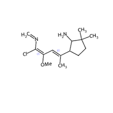 C=N/C(Cl)=C(\C=C(/C)C1CCC(C)(C)C1N)OC